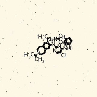 COc1cc2c(cc1Nc1ncc(Cl)c(N[C@H]3[C@@H](OC(N)=O)[C@@H]4C=C[C@H]3C4)n1)CCN(C(C)C)CC2